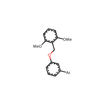 COc1cccc(OC)c1COc1cccc(C(C)=O)c1